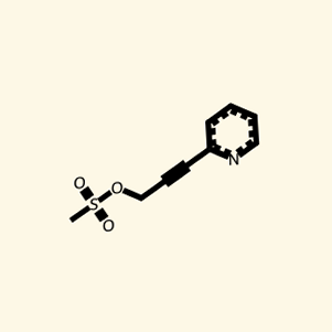 CS(=O)(=O)OCC#Cc1ccccn1